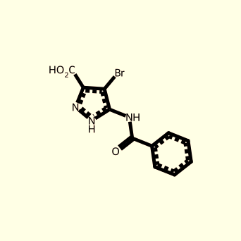 O=C(Nc1[nH]nc(C(=O)O)c1Br)c1ccccc1